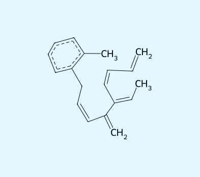 C=C/C=C\C(=C/C)C(=C)/C=C\Cc1ccccc1C